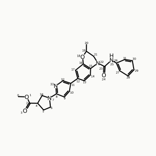 COC(=O)C1CCN(c2ccc(-c3ccc4c(c3)OC(C)CN4C(=O)Nc3ccccc3)cn2)C1